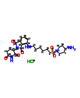 Cl.NC1CCN(S(=O)(=O)CCCCCCNc2cccc3c2C(=O)N(C2CCC(=O)NC2=O)C3=O)CC1